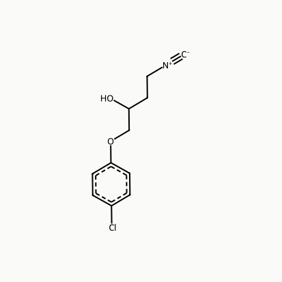 [C-]#[N+]CCC(O)COc1ccc(Cl)cc1